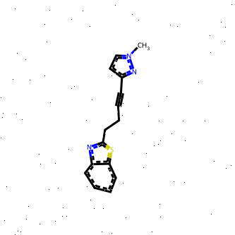 Cn1ccc(C#CCCc2nc3ccccc3s2)n1